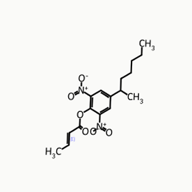 C/C=C/C(=O)Oc1c([N+](=O)[O-])cc(C(C)CCCCC)cc1[N+](=O)[O-]